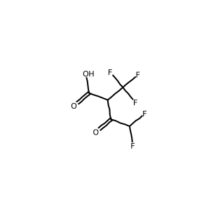 O=C(O)C(C(=O)C(F)F)C(F)(F)F